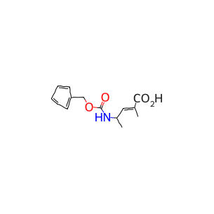 CC(=CC(C)NC(=O)OCc1ccccc1)C(=O)O